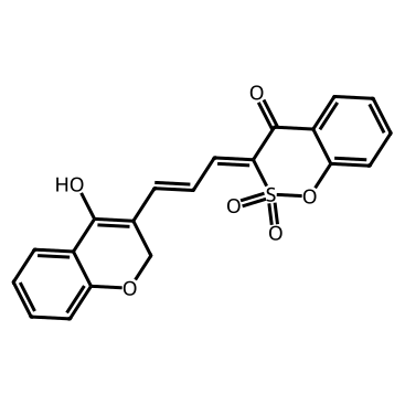 O=C1/C(=C/C=CC2=C(O)c3ccccc3OC2)S(=O)(=O)Oc2ccccc21